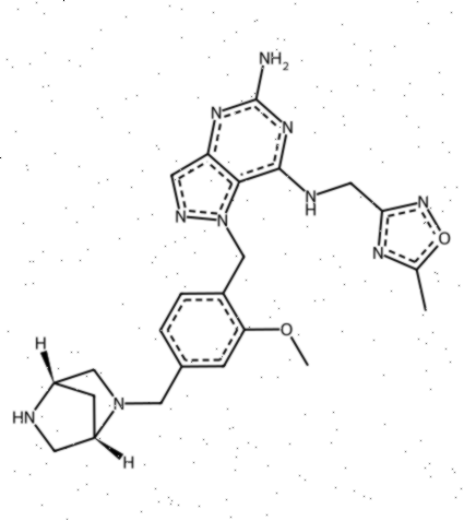 COc1cc(CN2C[C@@H]3C[C@H]2CN3)ccc1Cn1ncc2nc(N)nc(NCc3noc(C)n3)c21